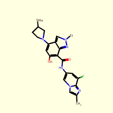 CCn1cc2c(N3CCC(NC)C3)cc(O)c(C(=O)Nc3cc(F)c4nc(C)cn4c3)c2n1